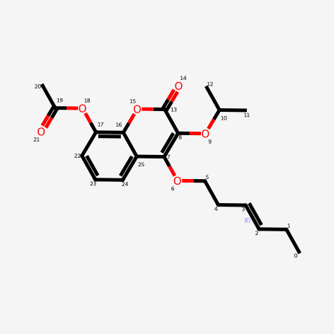 CC/C=C/CCOc1c(OC(C)C)c(=O)oc2c(OC(C)=O)cccc12